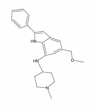 COCc1cc(NC2CCN(C)CC2)c2[nH]c(-c3ccccc3)cc2c1